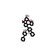 Cc1ccccc1-c1c(-c2ccc3c(oc4ccccc43)c2Nc2ccc(-c3ccccc3)cc2)ccc2c1-c1c(C(C)(C)C)cc(C(C)(C)C)cc1C2(C)C